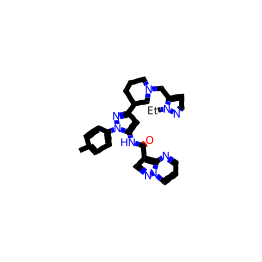 CCn1nccc1CN1CCCC(c2cc(NC(=O)c3cnn4cccnc34)n(-c3ccc(C)cc3)n2)C1